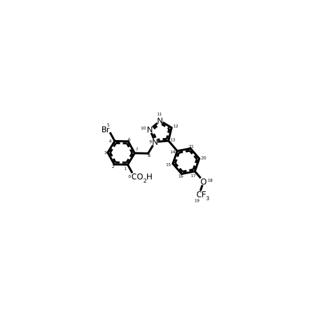 O=C(O)c1ccc(Br)cc1Cn1nncc1-c1ccc(OC(F)(F)F)cc1